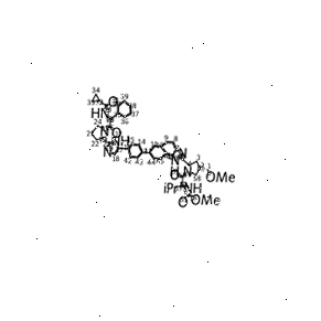 COC[C@H]1CC(c2nc3ccc4cc(-c5ccc(-c6cnc([C@@H]7CCCN7C(=O)[C@H](NC(=O)C7CC7)c7ccccc7)[nH]6)cc5)ccc4c3[nH]2)N(C(=O)[C@@H](NC(=O)OC)C(C)C)C1